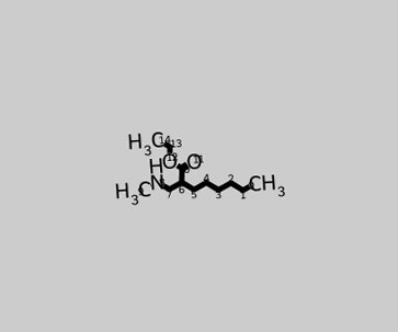 CCCCCCC(CNC)C(=O)OCC